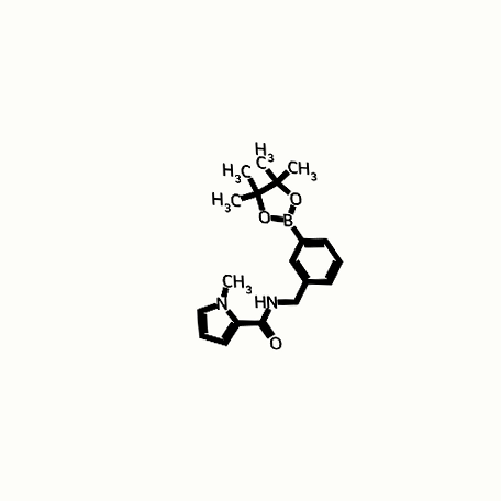 Cn1cccc1C(=O)NCc1cccc(B2OC(C)(C)C(C)(C)O2)c1